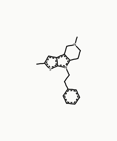 Cc1cc2c3c(n(CCc4ccccc4)c2s1)CCN(C)C3